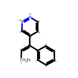 CCOC(=O)/C=C(\c1ccccc1)c1ccnnc1